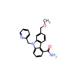 COCc1c[c]c2c3c(C(N)=O)cccc3n(Cc3ccccn3)c2c1